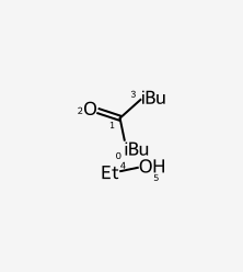 CCC(C)C(=O)C(C)CC.CCO